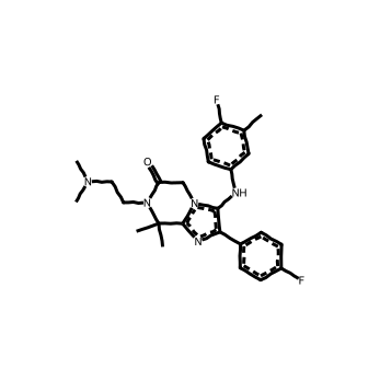 Cc1cc(Nc2c(-c3ccc(F)cc3)nc3n2CC(=O)N(CCN(C)C)C3(C)C)ccc1F